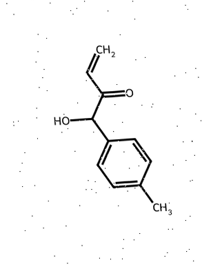 C=CC(=O)C(O)c1ccc(C)cc1